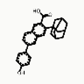 O=C(O)c1cc2ccc(-c3ccc(O)cc3)cc2cc1C12CC3CC(CC(C3)C1)C2